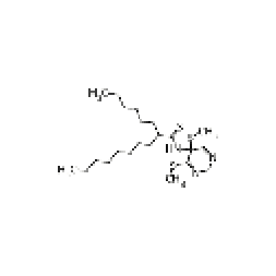 CCCCCCCCC(CCCCCC)C(=S)NC1(SC)C=NCN=C1SC